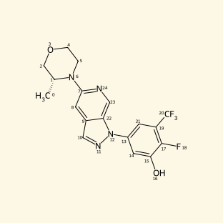 C[C@@H]1COCCN1c1cc2cnn(-c3cc(O)c(F)c(C(F)(F)F)c3)c2cn1